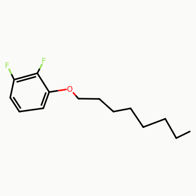 CCCCCCCCOc1cccc(F)c1F